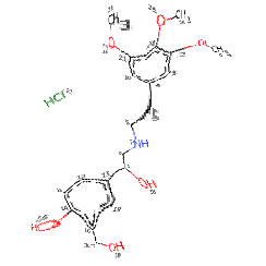 COc1cc(CCNCC(O)c2ccc(O)c(CO)c2)cc(OC)c1OC.Cl